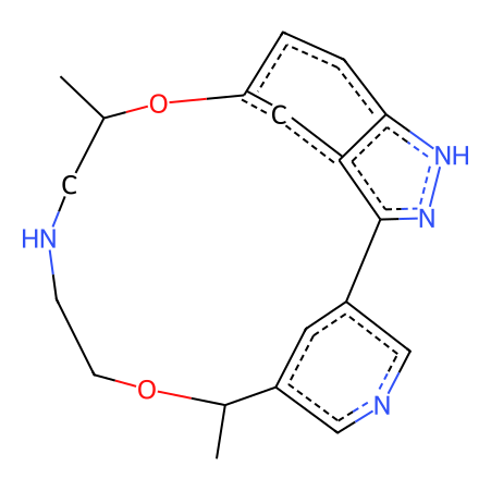 CC1CNCCOC(C)c2cncc(c2)-c2n[nH]c3ccc(cc23)O1